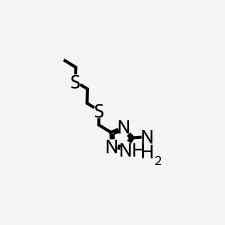 CCSCCSCc1n[nH]c(N)n1